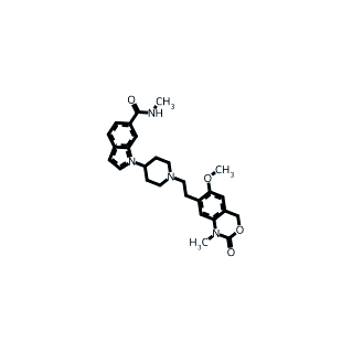 CNC(=O)c1ccc2ccn(C3CCN(CCc4cc5c(cc4OC)COC(=O)N5C)CC3)c2c1